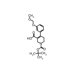 COCOc1cccc(C2=C(C(=O)O)CN(C(=O)OC(C)(C)C)CC2)c1